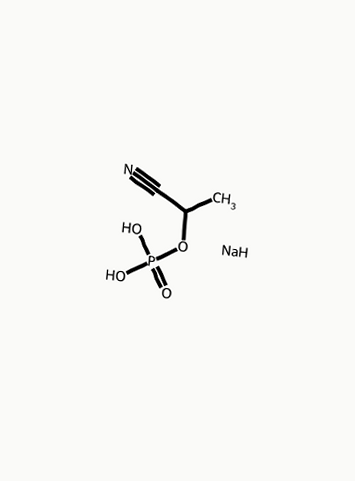 CC(C#N)OP(=O)(O)O.[NaH]